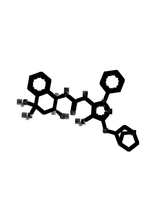 Cc1c(OC2CN3CCC2C3)nn(-c2ccccc2)c1NC(=O)N[C@@H]1c2ccccc2C(C)(C)C[C@H]1O